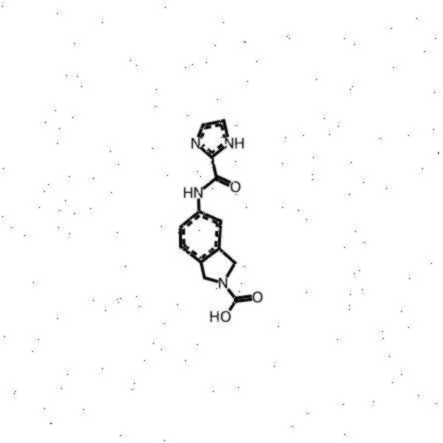 O=C(Nc1ccc2c(c1)CN(C(=O)O)C2)c1ncc[nH]1